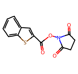 O=C(ON1C(=O)CCC1=O)c1cc2ccccc2s1